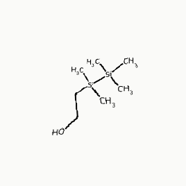 C[Si](C)(C)[Si](C)(C)CCO